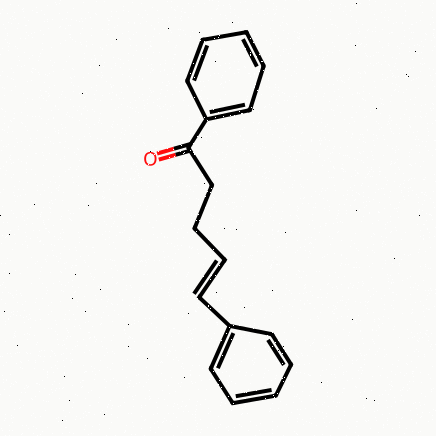 O=C(CCC=Cc1ccccc1)c1ccccc1